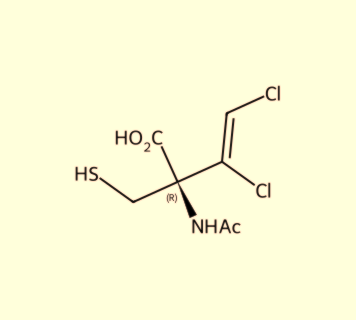 CC(=O)N[C@@](CS)(C(=O)O)C(Cl)=CCl